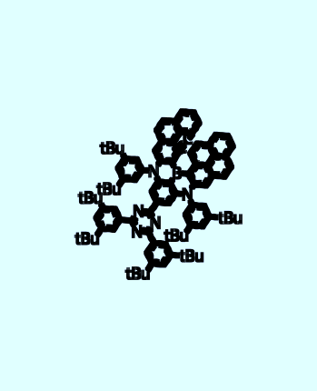 CC(C)(C)c1cc(-c2nc(-c3cc(C(C)(C)C)cc(C(C)(C)C)c3)nc(-c3cc4c5c(c3)N(c3cc(C(C)(C)C)cc(C(C)(C)C)c3)c3cc6ccc7cccc8ccc(c3B5c3c(cc5ccc9cccc%10ccc3c5c9%10)N4c3cc(C(C)(C)C)cc(C(C)(C)C)c3)c6c78)n2)cc(C(C)(C)C)c1